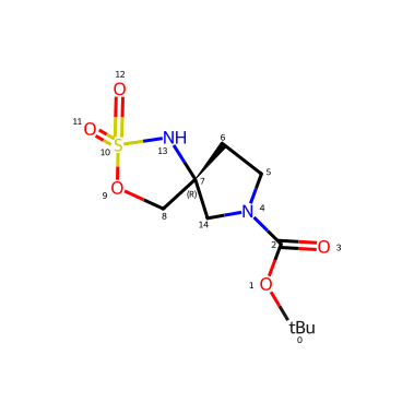 CC(C)(C)OC(=O)N1CC[C@]2(COS(=O)(=O)N2)C1